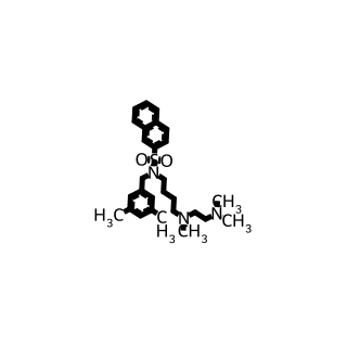 Cc1cc(C)cc(CN(CCCCN(C)CCN(C)C)S(=O)(=O)c2ccc3ccccc3c2)c1